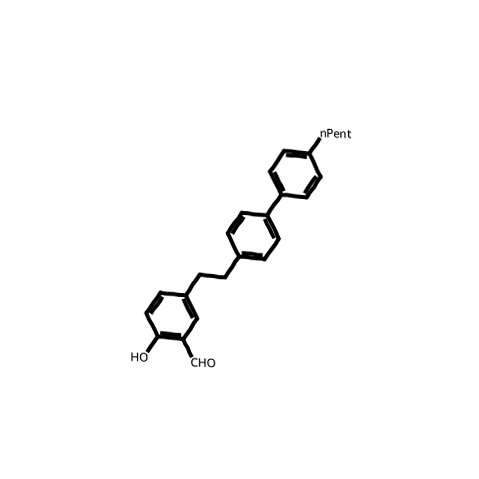 CCCCCc1ccc(-c2ccc(CCc3ccc(O)c(C=O)c3)cc2)cc1